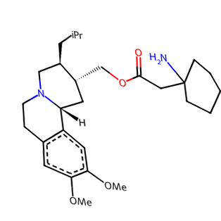 COc1cc2c(cc1OC)[C@H]1C[C@@H](COC(=O)CC3(N)CCCCC3)[C@H](CC(C)C)CN1CC2